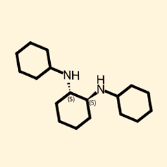 C1CCC(N[C@H]2CCCC[C@@H]2NC2CCCCC2)CC1